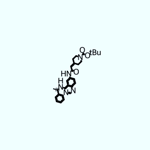 C[C@@H](Nc1ncnc2ccc(NC(=O)C=C3CCN(C(=O)OC(C)(C)C)CC3)cc12)c1ccccc1